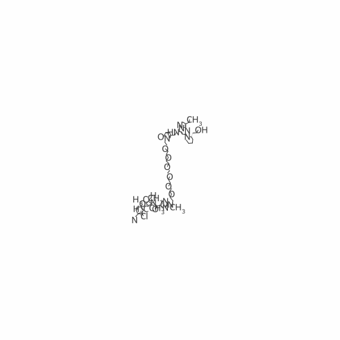 CCc1cnn2c(NCc3ccc(=O)n(CCOCCOCCOCCOCCOCCOCCN(C)c4ncc(C(=O)NC5C(C)(C)C(Oc6ccc(C#N)c(Cl)c6)C5(C)C)cn4)c3)cc(N3CCCC[C@H]3CCO)nc12